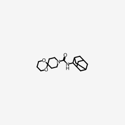 O=C(NC1C2CC3CC(C2)CC1C3)N1CCC2(CC1)OCCCO2